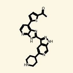 CC(=O)c1ccc(-c2ccnc3[nH]c(-c4n[nH]c5cnc(C6CCNCC6)cc45)nc23)s1